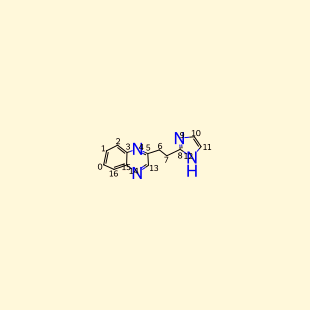 c1ccc2nc(CCc3ncc[nH]3)cnc2c1